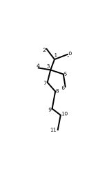 [CH2]C(C)C(C)(CC)CCCCC